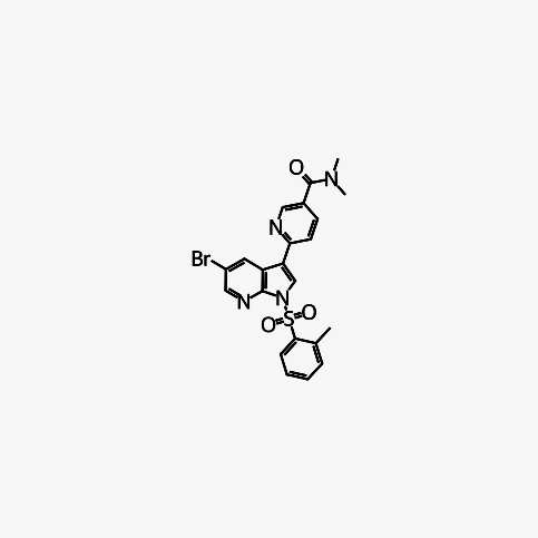 Cc1ccccc1S(=O)(=O)n1cc(-c2ccc(C(=O)N(C)C)cn2)c2cc(Br)cnc21